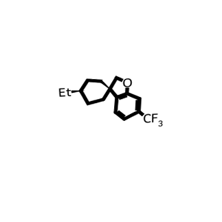 CC[C@H]1CC[C@@]2(CC1)COc1cc(C(F)(F)F)ccc12